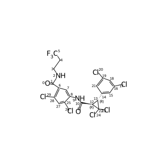 O=C(NCCC(F)(F)F)c1cc(NC(=O)[C@H]2[C@H](c3cc(Cl)cc(Cl)c3)C2(Cl)Cl)c(Cl)cc1Cl